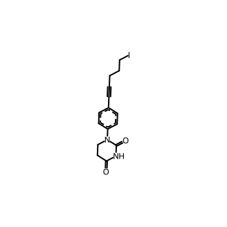 O=C1CCN(c2ccc(C#CCCCI)cc2)C(=O)N1